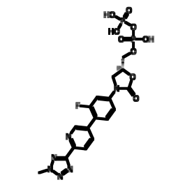 Cn1nnc(-c2ccc(-c3ccc(N4C[C@H](COP(=O)(O)OP(=O)(O)O)OC4=O)cc3F)cn2)n1